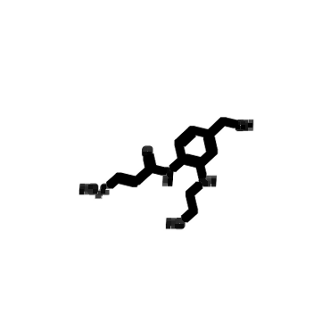 O=C(O)/C=C/C(=O)Nc1ccc(CO)cc1NCCO